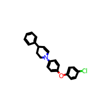 Clc1ccc(Oc2ccc(N3C=CC(c4ccccc4)CC3)cc2)cc1